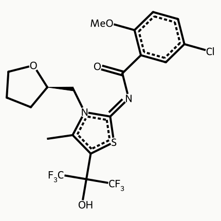 COc1ccc(Cl)cc1C(=O)N=c1sc(C(O)(C(F)(F)F)C(F)(F)F)c(C)n1C[C@H]1CCCO1